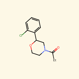 CCC(=O)N1CCOC(c2ccccc2Cl)C1